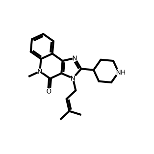 CC(C)=CCn1c(C2CCNCC2)nc2c3ccccc3n(C)c(=O)c21